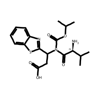 CC(C)OC(=O)N(C(=O)[C@@H](N)C(C)C)C(CC(=O)O)c1nc2ccccc2s1